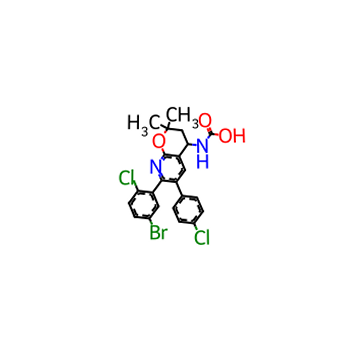 CC1(C)CC(NC(=O)O)c2cc(-c3ccc(Cl)cc3)c(-c3cc(Br)ccc3Cl)nc2O1